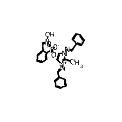 Cc1n(N=Cc2ccccc2)cc[n+]1N=Cc1ccccc1.O=S(=O)([O-])c1ccccc1C=NO